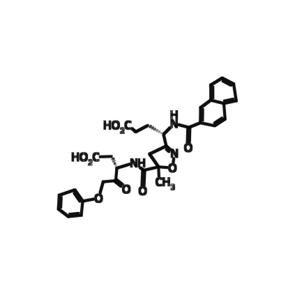 CC1(C(=O)N[C@@H](CC(=O)O)C(=O)COc2ccccc2)CC([C@H](CCC(=O)O)NC(=O)c2ccc3ccccc3c2)=NO1